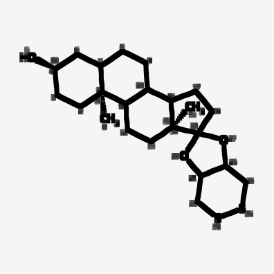 C[C@]12CC[C@@H](O)CC1CCC1C2CC[C@@]2(C)C1CCC21OC2CSSCC2O1